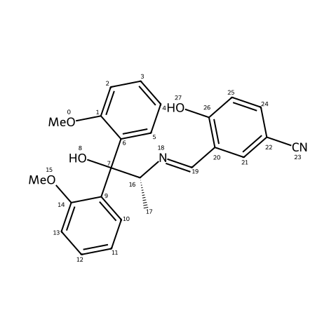 COc1ccccc1C(O)(c1ccccc1OC)[C@@H](C)N=Cc1cc(C#N)ccc1O